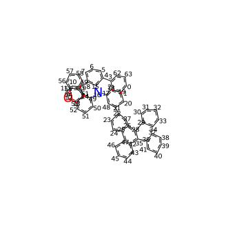 c1ccc(-c2cccc(-c3ccccc3)c2N(c2cccc(-c3ccc4c(c3)c(-c3ccccc3)c(-c3ccccc3)c3ccccc34)c2)c2cccc3oc4ccccc4c23)cc1